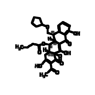 CCCC(=O)O[C@H]1[C@H]2C(=C(O)[C@]3(O)C(=O)C(C(C)=O)=C(O)C[C@H]13)C(=O)c1c(O)cccc1[C@@H]2COC1CCCC1